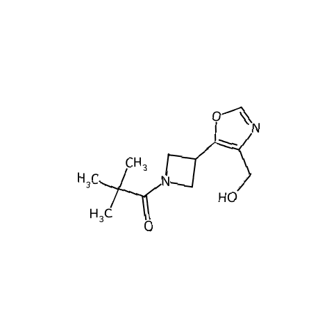 CC(C)(C)C(=O)N1CC(c2ocnc2CO)C1